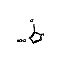 CC1=[N+]C=CN1.Cl.Cl.[Cl-]